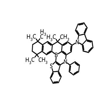 CC1(C)CCC(C)(C)c2cc3c(cc21)B1c2sc4ccccc4c2N(c2ccccc2)c2cc(-n4c5ccccc5c5ccccc54)cc(c21)C3(C)C